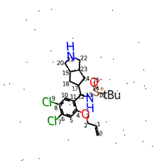 C=CCOc1cc(Cl)c(Cl)cc1C(N[S+]([O-])C(C)(C)C)C1CC2CNCC2C1